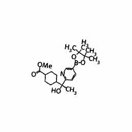 COC(=O)C1CCC([C@@](C)(O)c2ccc(B3OC(C)(C)C(C)(C)O3)cn2)CC1